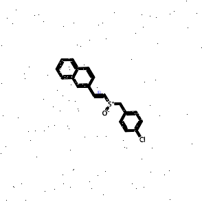 [O-][S+](/C=C/c1ccc2ccccc2c1)Cc1ccc(Cl)cc1